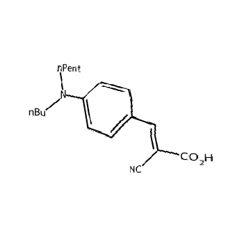 CCCCCN(CCCC)c1ccc(/C=C(\C#N)C(=O)O)cc1